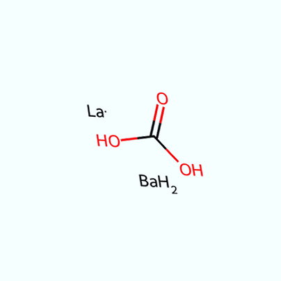 O=C(O)O.[BaH2].[La]